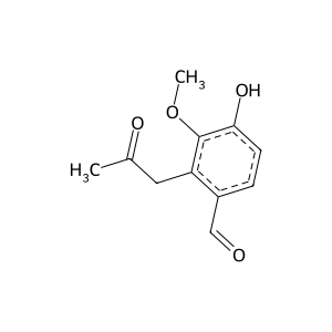 COc1c(O)ccc(C=O)c1CC(C)=O